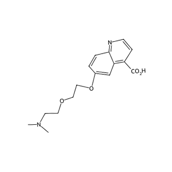 CN(C)CCOCCOc1ccc2nccc(C(=O)O)c2c1